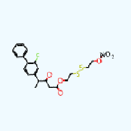 CC(C(=O)CC(=O)OCCSSCCO[N+](=O)[O-])c1ccc(-c2ccccc2)c(F)c1